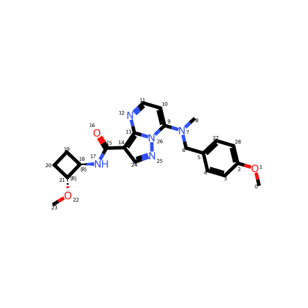 COc1ccc(CN(C)c2ccnc3c(C(=O)N[C@@H]4CC[C@H]4OC)cnn23)cc1